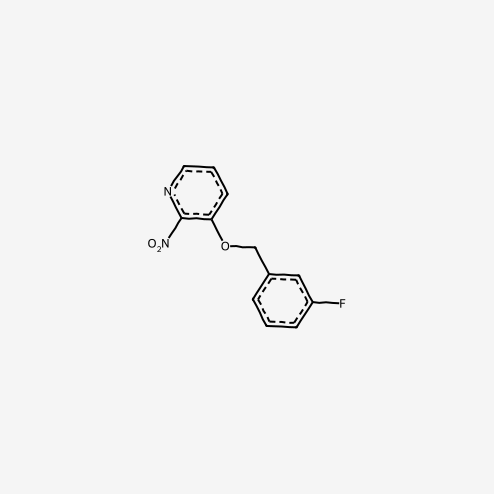 O=[N+]([O-])c1ncccc1OCc1cccc(F)c1